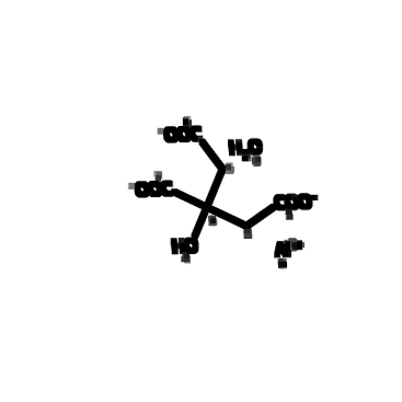 O.O=C([O-])CC(O)(CC(=O)[O-])C(=O)[O-].[Al+3]